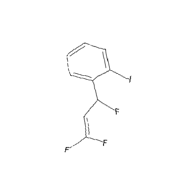 FC(F)=CC(F)c1ccccc1I